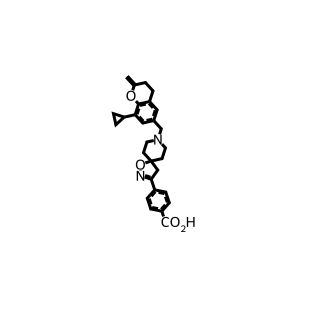 C=C1CCc2cc(CN3CCC4(CC3)CC(c3ccc(C(=O)O)cc3)=NO4)cc(C3CC3)c2O1